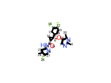 Cc1ncc(OC[C@@]2(C3C=CC(F)=C(F)C3)C[C@H]2C(=O)Nc2cc(C)c(F)cn2)c(C)n1